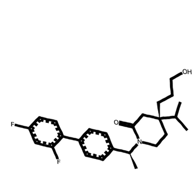 CC(C)[C@]1(CCCO)CCN([C@@H](C)c2ccc(-c3ccc(F)cc3F)cc2)C(=O)C1